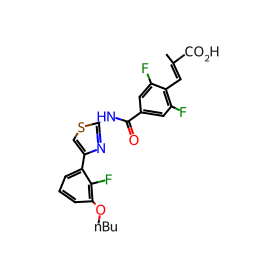 CCCCOc1cccc(-c2csc(NC(=O)c3cc(F)c(C=C(C)C(=O)O)c(F)c3)n2)c1F